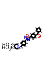 O=C(c1ccccc1)c1ccc(-c2nc(-c3ccc(CN4CCC(C(=O)O)(C(=O)O)CC4)cc3)no2)cc1